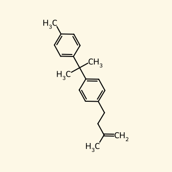 C=C(C)CCc1ccc(C(C)(C)c2ccc(C)cc2)cc1